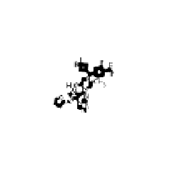 C[C@@H]1CN(c2nc3nncn3c3c2ncn3C[C@@H]2CCCO2)[C@@H](C)CN1C(c1ccc(C(F)F)c(F)c1)C1CC(F)(F)C1